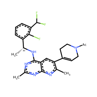 CC(=O)N1CC=C(c2cc3c(N[C@H](C)c4cccc(C(F)F)c4F)nc(C)nc3nc2C)CC1